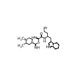 CC(C)CCC(Cc1c[nH]c2ccccc12)NC(=O)C(=N)SC(=N)N1CCN(C)C(C)C1